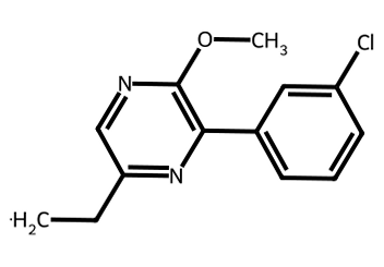 [CH2]Cc1cnc(OC)c(-c2cccc(Cl)c2)n1